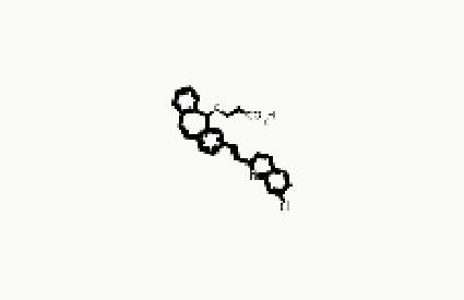 O=C(O)CCSC1c2ccccc2C=Cc2ccc(/C=C/c3ccc4ccc(Cl)cc4n3)cc21